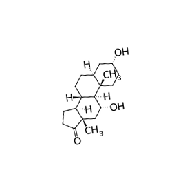 C[C@]12CC[C@@H](O)C[C@@H]1CC[C@@H]1[C@@H]2[C@H](O)C[C@]2(C)C(=O)CC[C@@H]12